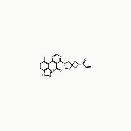 C=CC(=O)N1CC2(CCN(c3ncnc(-c4c(C)ccc5[nH]ncc45)c3C(N)=O)C2)C1